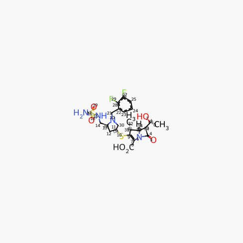 C[C@@H](O)[C@H]1C(=O)N2C(C(=O)O)=C(S[C@H]3C[C@@H](CNS(N)(=O)=O)N(Cc4cccc(F)c4F)C3)[C@H](C)[C@H]12